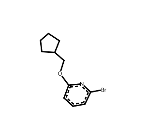 Brc1cccc(OCC2CCCC2)n1